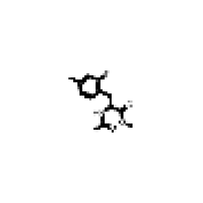 COC(=O)[C@H](Cc1ccc(C)cc1F)NC(C)=O